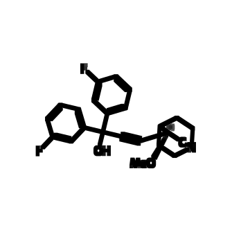 CO[C@]1(C#CC(O)(c2cccc(F)c2)c2cccc(F)c2)CN2CCC1CC2